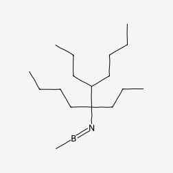 CB=NC(CCC)(CCCC)C(CCC)CCCC